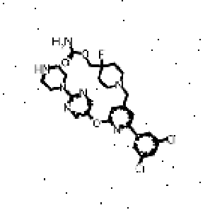 NC(=O)OCC1(F)CCN(Cc2cc(Oc3cnc(N4CCNCC4)nc3)nc(-c3cc(Cl)cc(Cl)c3)c2)CC1